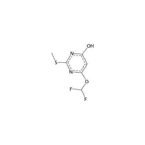 CSc1nc(O)cc(OC(F)F)n1